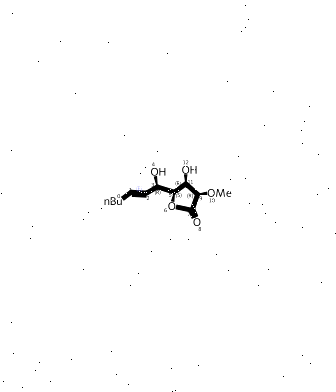 CCCC/C=C/[C@@H](O)[C@@H]1OC(=O)[C@H](OC)[C@@H]1O